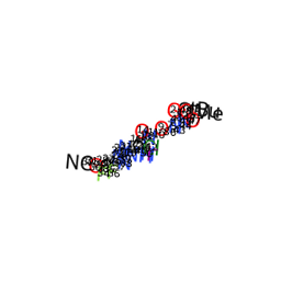 COC(=O)C1C[N+](C)(CCOCCNC(=O)c2ccc(Nc3nccn4c(-c5ccc(OCC#N)c(F)c5F)cnc34)cc2Cl)CCN1C(=O)OC(C)(C)C.[I-]